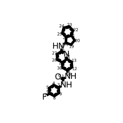 O=C(Nc1ccc(F)cc1)Nc1ccc2nc(N[C@@H]3CCc4ccccc43)ccc2c1